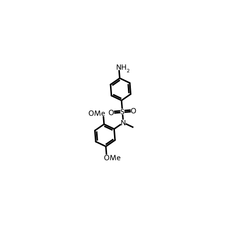 COc1ccc(OC)c(N(C)S(=O)(=O)c2ccc(N)cc2)c1